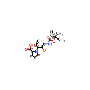 C=CC(C(=O)CNC(=O)OC(C)(C)C)N1CCCC1C(=O)O